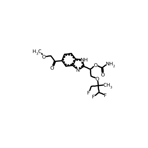 COCC(=O)c1ccc2[nH]c(C(COC(C)(CF)C(F)F)OC(N)=O)nc2c1